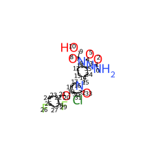 NC(=O)n1c(=O)n(C(=O)CO)c2ccc(Cn3ccc(OCc4ccc(F)cc4F)c(Cl)c3=O)cc21